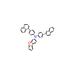 c1ccc2cc(-c3ccc(N(c4ccc(-c5cccc6ccccc56)cc4)c4ccc5c(c4)oc4ccccc45)cc3)ccc2c1